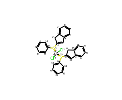 [Cl][Zr]([Cl])(=[S](C1=Cc2ccccc2C1)c1ccccc1)=[S](C1=Cc2ccccc2C1)c1ccccc1